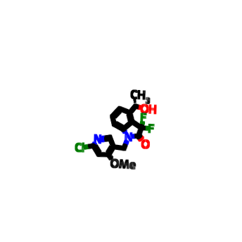 COc1cc(Cl)ncc1CN1C(=O)C(F)(F)c2c([C@H](C)O)cccc21